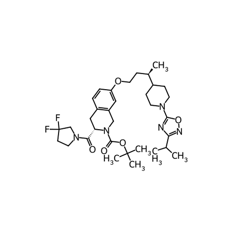 CC(C)c1noc(N2CCC([C@H](C)CCOc3ccc4c(c3)CN(C(=O)OC(C)(C)C)[C@H](C(=O)N3CCC(F)(F)C3)C4)CC2)n1